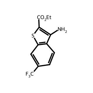 CCOC(=O)c1sc2cc(C(F)(F)F)ccc2c1N